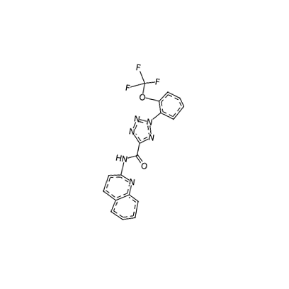 O=C(Nc1ccc2ccccc2n1)c1nnn(-c2ccccc2OC(F)(F)F)n1